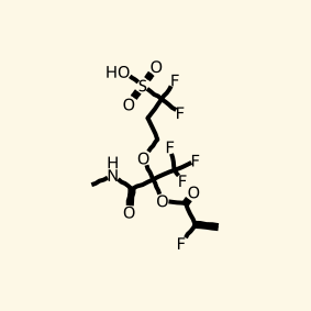 C=C(F)C(=O)OC(OCCC(F)(F)S(=O)(=O)O)(C(=O)NC)C(F)(F)F